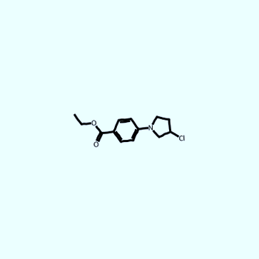 CCOC(=O)c1ccc(N2CCC(Cl)C2)cc1